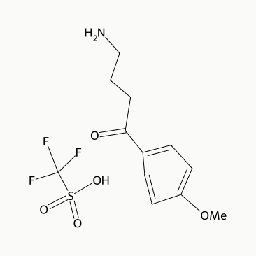 COc1ccc(C(=O)CCCN)cc1.O=S(=O)(O)C(F)(F)F